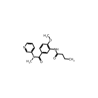 CCCC(=O)Nc1cc(C(=O)N(C)c2cccnc2)ccc1OC